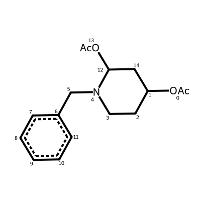 CC(=O)OC1CCN(Cc2ccccc2)C(OC(C)=O)C1